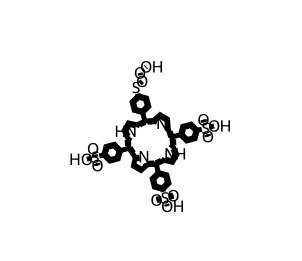 O=S(=O)(O)c1ccc(-c2c3nc(c(-c4ccc(S(=O)(=O)O)cc4)c4ccc([nH]4)c(-c4ccc(S(=O)(=O)O)cc4)c4nc(c(-c5ccc(SOOO)cc5)c5ccc2[nH]5)C=C4)C=C3)cc1